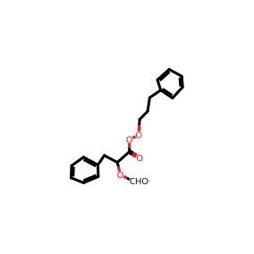 O=[C]OC(Cc1ccccc1)C(=O)OOCCCc1ccccc1